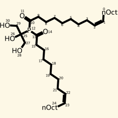 CCCCCCCC/C=C\CCCCCCCC(=O)P(C(=O)CCCCCCC/C=C\CCCCCCCC)C(O)(CO)CO